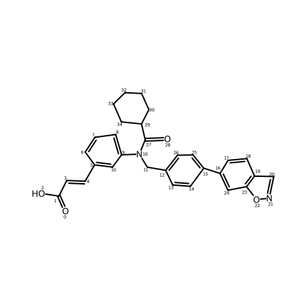 O=C(O)C=Cc1cccc(N(Cc2ccc(-c3ccc4cnoc4c3)cc2)C(=O)C2CCCCC2)c1